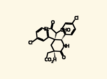 CCC(=O)C(C=O)[C@@]1(c2cccc(Cl)c2)C[C@](C)(CC(=O)O)C(=O)N[C@H]1c1ccc(Cl)cc1